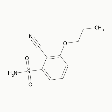 CCCOc1cccc(S(N)(=O)=O)c1C#N